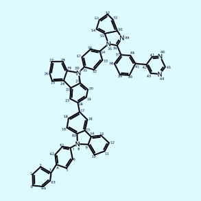 c1ccc(-c2ccc(-n3c4ccccc4c4cc(-c5ccc6c(c5)c5ccccc5n6-c5ccc(-n6c(-c7cccc(-c8cncnc8)c7)nc7ccccc76)cc5)ccc43)cc2)cc1